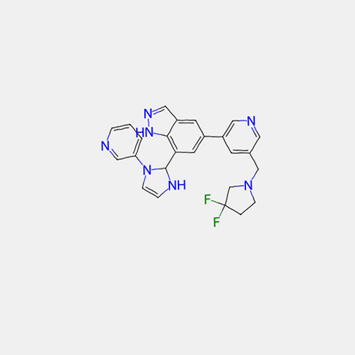 FC1(F)CCN(Cc2cncc(-c3cc(C4NC=CN4c4cccnc4)c4[nH]ncc4c3)c2)C1